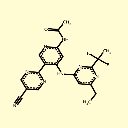 CCc1cc(Nc2cc(NC(C)=O)ncc2-c2ncc(C#N)cn2)nc(C(C)(F)F)n1